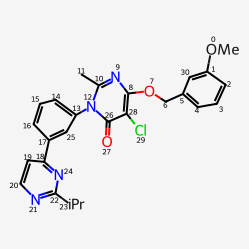 COc1cccc(COc2nc(C)n(-c3cccc(-c4ccnc(C(C)C)n4)c3)c(=O)c2Cl)c1